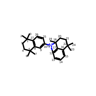 CC1(C)CCC(C)(C)c2cc(N3c4cccc5c4C3(C)CCC5(C)C)ccc21